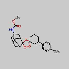 CC(=O)Oc1ccc(C2CCC[C@]3(C2)OOC2(O3)C3CC4CC2CC(NC(=O)OC(C)(C)C)(C4)C3)cc1